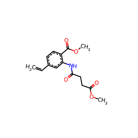 C=Cc1ccc(C(=O)OC)c(NC(=O)CCC(=O)OC)c1